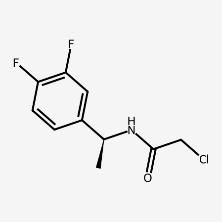 C[C@H](NC(=O)CCl)c1ccc(F)c(F)c1